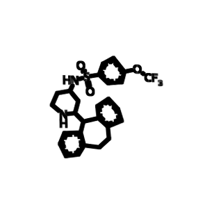 O=S(=O)(NC1CCNC(C2c3ccccc3CCc3ccccc32)C1)c1ccc(OC(F)(F)F)cc1